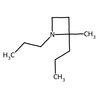 CCCN1CCC1(C)CCC